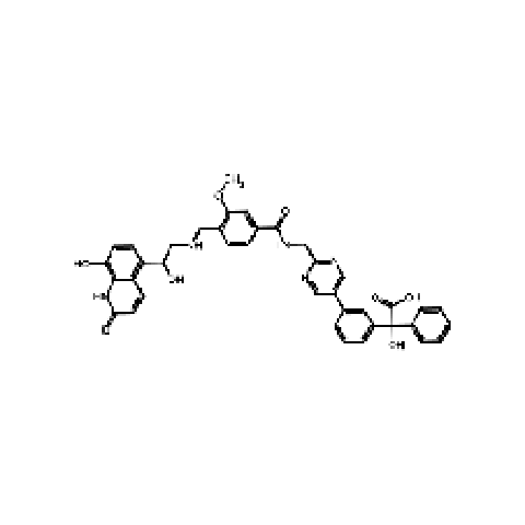 COc1cc(C(=O)NCc2ncc(-c3cccc(C(O)(C(=O)O)c4ccccc4)c3)cn2)ccc1CNCC(O)c1ccc(O)c2[nH]c(=O)ccc12